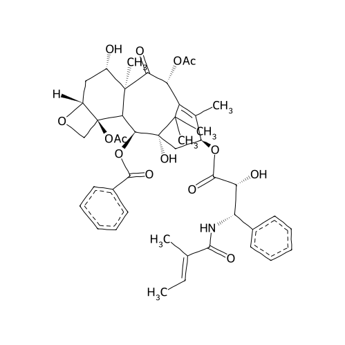 C/C=C(\C)C(=O)N[C@@H](c1ccccc1)[C@@H](O)C(=O)O[C@H]1C[C@@]2(O)[C@@H](OC(=O)c3ccccc3)C3[C@](C)(C(=O)[C@H](OC(C)=O)C(=C1C)C2(C)C)[C@@H](O)C[C@H]1OC[C@@]31OC(C)=O